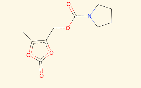 Cc1oc(=O)oc1COC(=O)N1CCCC1